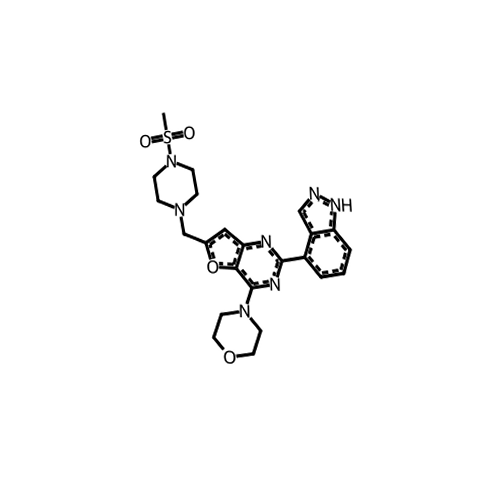 CS(=O)(=O)N1CCN(Cc2cc3nc(-c4cccc5[nH]ncc45)nc(N4CCOCC4)c3o2)CC1